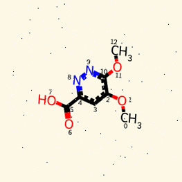 COc1cc(C(=O)O)nnc1OC